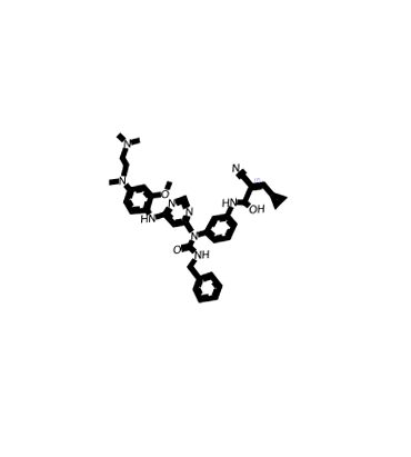 COc1cc(N(C)CCN(C)C)ccc1Nc1cc(N(C(=O)NCc2ccccc2)c2cccc(NC(O)/C(C#N)=C\C3CC3)c2)ncn1